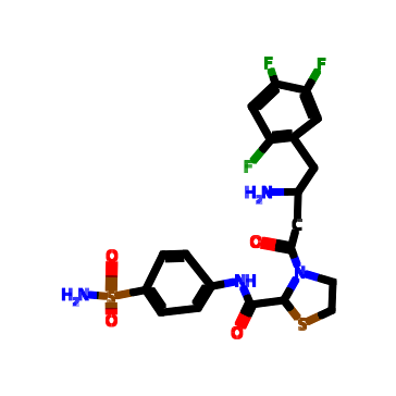 NC(CC(=O)N1CCSC1C(=O)Nc1ccc(S(N)(=O)=O)cc1)Cc1cc(F)c(F)cc1F